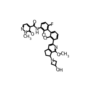 COc1nc(-c2cccc(-c3c(F)ccc(NC(=O)c4ccnn(C)c4=O)c3Cl)c2Cl)cc2c1C(N1CC(O)C1)CC2